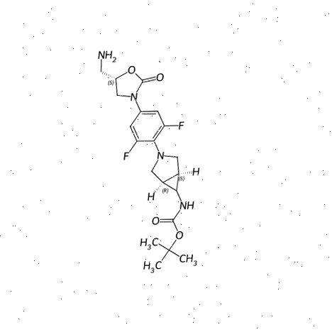 CC(C)(C)OC(=O)NC1[C@H]2CN(c3c(F)cc(N4C[C@H](CN)OC4=O)cc3F)C[C@@H]12